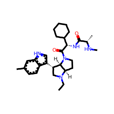 CCN1C[C@H](c2c[nH]c3cc(C)ccc23)[C@@H]2[C@H]1CCN2C(=O)[C@@H](NC(=O)[C@H](C)NC)C1CCCCC1